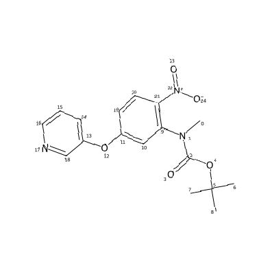 CN(C(=O)OC(C)(C)C)c1cc(Oc2cccnc2)ccc1[N+](=O)[O-]